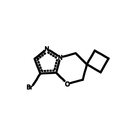 Brc1cnn2c1OCC1(CCC1)C2